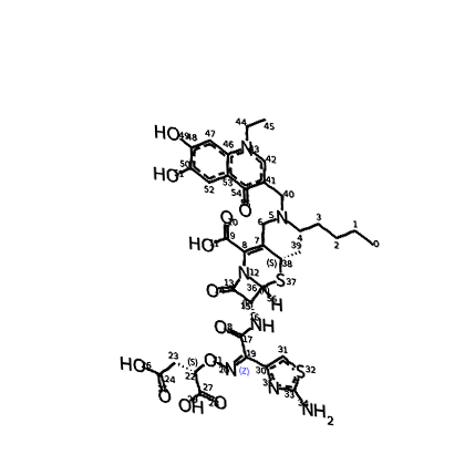 CCCCCN(CC1=C(C(=O)O)N2C(=O)[C@@H](NC(=O)/C(=N\O[C@@H](CC(=O)O)C(=O)O)c3csc(N)n3)[C@H]2S[C@H]1C)Cc1cn(CC)c2cc(O)c(O)cc2c1=O